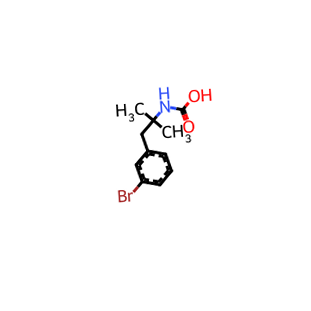 CC(C)(Cc1cccc(Br)c1)NC(=O)O